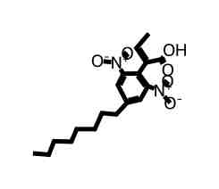 CC=C(C(=O)O)c1c([N+](=O)[O-])cc(CCCCCCCC)cc1[N+](=O)[O-]